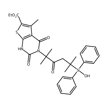 CCOC(=O)c1sc2[nH]c(=O)n(C(C)(C)C(=O)CC(C)(C)[Si](O)(c3ccccc3)c3ccccc3)c(=O)c2c1C